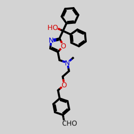 CN(CCOCc1ccc(C=O)cc1)Cc1cnc(C(O)(c2ccccc2)c2ccccc2)o1